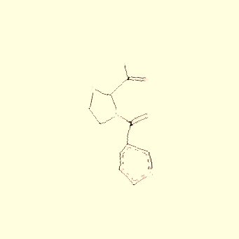 C=C(c1cccnc1)N1CCNC1C(=O)C(F)(F)F